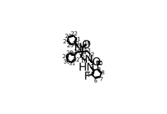 O=C(Nc1c(F)cccc1F)N1CCC2(CC1)C(=O)N(c1ccccc1)C2c1ccccc1